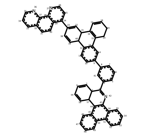 C1=CC2C(c3cccc(-c4ccc5c(c4)C4=C(C=CCC4)C4C=C(c6ccnc7c6ccc6cccnc67)C=CC54)c3)=Nc3c(c4ccccc4c4ccccc34)C2C=C1